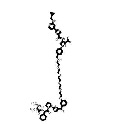 CN[C@@H](C)C(=O)N[C@H](C(=O)N1CCC[C@H]1c1nc(C(=O)c2cccc(OCCOCCOCCOCCOCCNCc3ccc(-n4cc(NC(=O)c5coc(-c6ccnc(NCC7CC7)c6)n5)c(C(F)F)n4)cc3)c2)cs1)C1CCCCC1